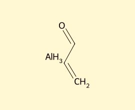 C=CC=O.[AlH3]